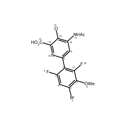 COc1c(Br)cc(F)c(-c2cc(NC(C)=O)c(Cl)c(C(=O)O)n2)c1F